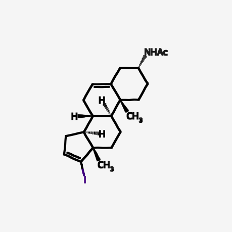 CC(=O)N[C@@H]1CC[C@@]2(C)C(=CC[C@@H]3[C@@H]2CC[C@]2(C)C(I)=CC[C@@H]32)C1